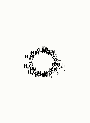 [C-]#[N+]C(N)C[C@H](C)[C@H](O)C1C(=O)N[C@H](CC)C(=O)N(C)CC(=O)N(C)[C@H](CC(C)C)C(=O)N[C@H](C(C)C)C(=O)N(C)[C@H](CC(C)C)C(=O)N[C@H](C)C(=O)N[C@H](C)C(=O)N(C)[C@H](CC(C)C)C(=O)N(C)[C@H](CC(C)C)C(=O)N(C)[C@H](C(C)C)C(=O)N1C